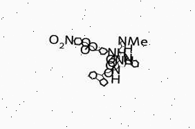 CNCCCC[C@H](NC(=O)[C@H](Cc1c[nH]c2ccccc12)NC(=O)OCC1c2ccccc2-c2ccccc21)C(=O)Nc1ccc(COC(=O)Oc2ccc([N+](=O)[O-])cc2)cc1